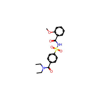 CCN(CC)C(=O)c1ccc(S(=O)(=O)NC(=O)c2ccccc2OC)cc1